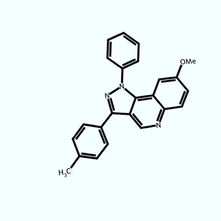 COc1ccc2ncc3c(-c4ccc(C)cc4)nn(-c4ccccc4)c3c2c1